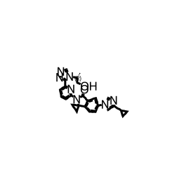 C[C@H](CO)n1cnnc1-c1cccc(N2C(=O)c3cc(-n4cnc(C5CC5)c4)ccc3C23CC3)n1